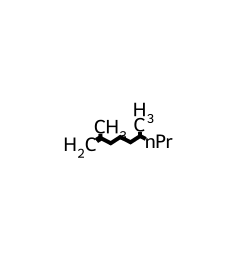 C=C(C)CCCC(C)CCC